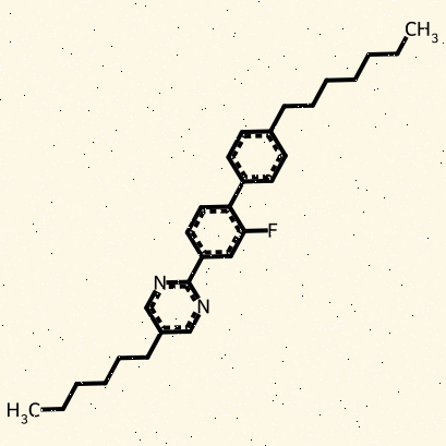 CCCCCCCc1ccc(-c2ccc(-c3ncc(CCCCCC)cn3)cc2F)cc1